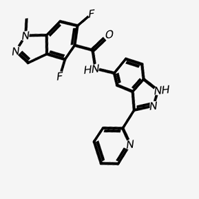 Cn1ncc2c(F)c(C(=O)Nc3ccc4[nH]nc(-c5ccccn5)c4c3)c(F)cc21